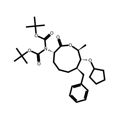 C[C@@H]1OC(=O)[C@@H](N(C(=O)OC(C)(C)C)C(=O)OC(C)(C)C)CCC[C@H](Cc2ccccc2)[C@H]1OC1CCCC1